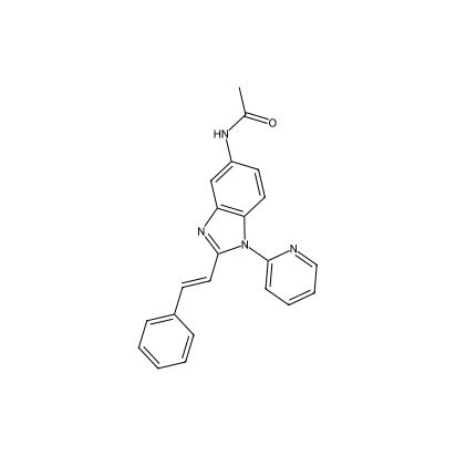 CC(=O)Nc1ccc2c(c1)nc(C=Cc1ccccc1)n2-c1ccccn1